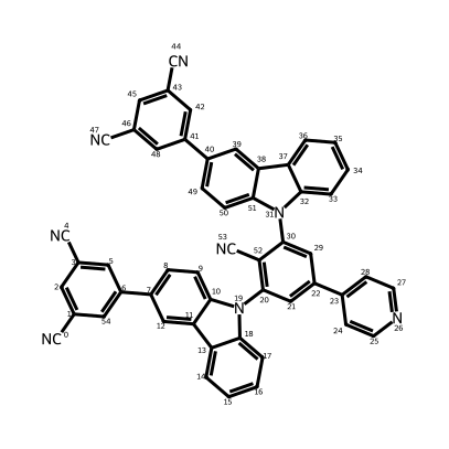 N#Cc1cc(C#N)cc(-c2ccc3c(c2)c2ccccc2n3-c2cc(-c3ccncc3)cc(-n3c4ccccc4c4cc(-c5cc(C#N)cc(C#N)c5)ccc43)c2C#N)c1